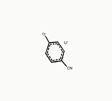 N#Cc1ccc([O-])cc1.[Li+]